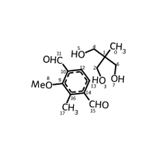 CC(CO)(CO)CO.COc1c(C=O)ccc(C=O)c1C